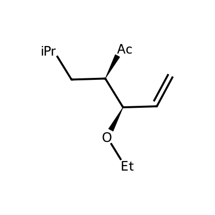 C=C[C@@H](OCC)[C@@H](CC(C)C)C(C)=O